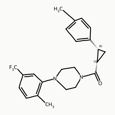 Cc1ccc([C@@H]2C[C@@H]2C(=O)N2CCN(c3cc(C(F)(F)F)ccc3C)CC2)cc1